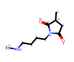 CCNCCCCN1C(=O)CC(C)C1=O